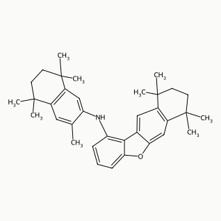 Cc1cc2c(cc1Nc1cccc3oc4cc5c(cc4c13)C(C)(C)CCC5(C)C)C(C)(C)CCC2(C)C